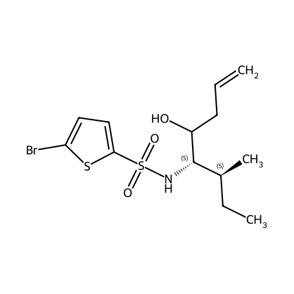 C=CCC(O)[C@@H](NS(=O)(=O)c1ccc(Br)s1)[C@@H](C)CC